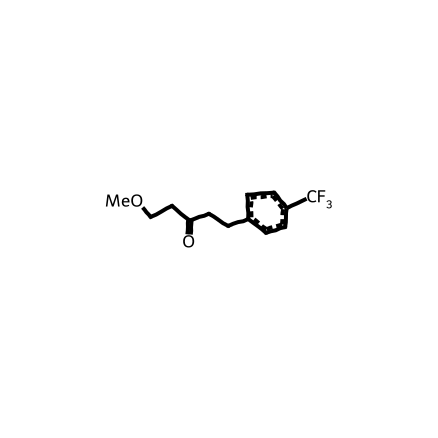 COCCC(=O)CCc1ccc(C(F)(F)F)cc1